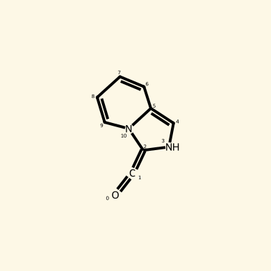 O=C=C1NC=C2C=CC=CN12